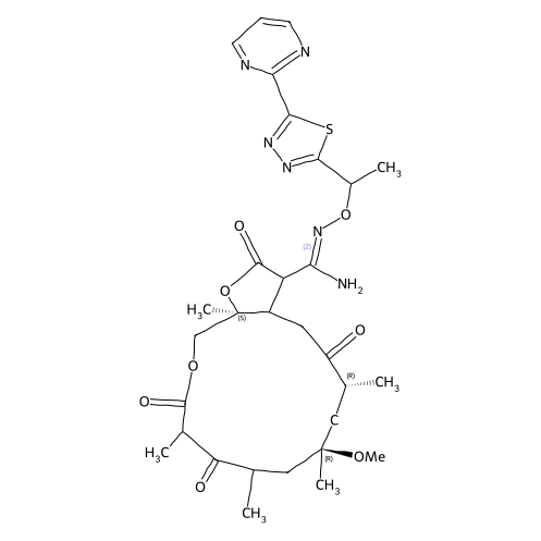 CO[C@@]1(C)CC(C)C(=O)C(C)C(=O)OC[C@@]2(C)OC(=O)C(/C(N)=N/OC(C)c3nnc(-c4ncccn4)s3)C2CC(=O)[C@H](C)C1